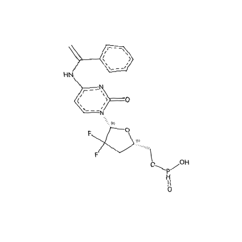 C=C(Nc1ccn([C@@H]2O[C@H](CO[PH](=O)O)CC2(F)F)c(=O)n1)c1ccccc1